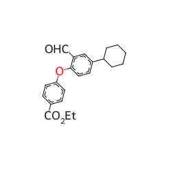 CCOC(=O)c1ccc(Oc2ccc(C3CCCCC3)cc2C=O)cc1